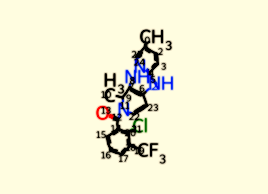 Cc1ccc(NC2=C(N)C(C)N(C(=O)c3cccc(C(F)(F)F)c3Cl)C=C2)nc1